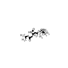 CC(C)SC(=O)C[C@H]1NC(=O)[C@@H]1[C@@H](C)O[Si](C)(C)C(C)(C)C